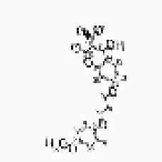 COc1ccc(OCCCOc2ccc3c(O)c([N+](=O)[O-])c(=O)oc3c2)cc1